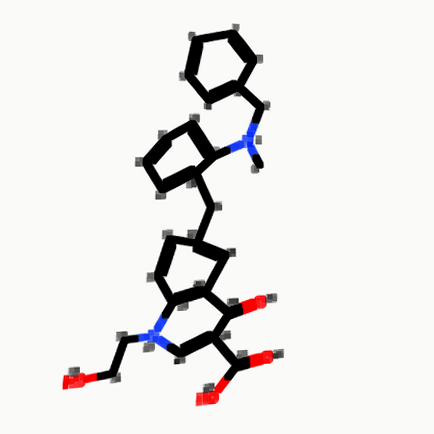 CN(Cc1ccccc1)c1ccccc1Cc1ccc2c(c1)c(=O)c(C(=O)O)cn2CCO